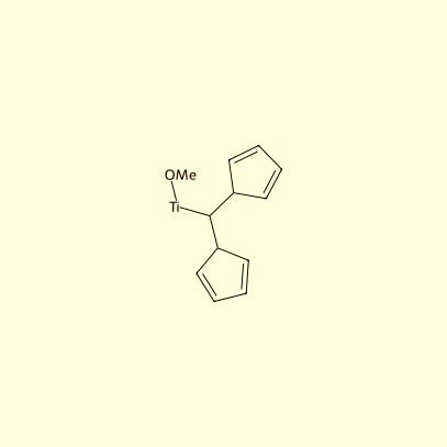 C[O][Ti][CH](C1C=CC=C1)C1C=CC=C1